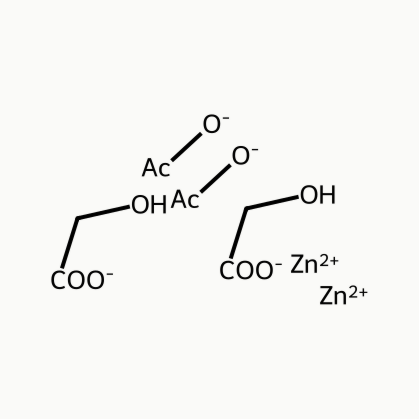 CC(=O)[O-].CC(=O)[O-].O=C([O-])CO.O=C([O-])CO.[Zn+2].[Zn+2]